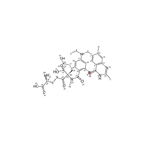 CCN(Cc1cc2c(=O)[nH]c(C)nc2cc1C)c1ccc(C(=O)N(C)[C@@](CCC(=O)O)(C(=O)O)C(=O)CC[C@H](N)C(=O)O)c(F)c1